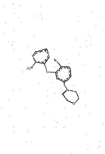 Nc1ncccc1Oc1cc(N2CCOCC2)ccc1Br